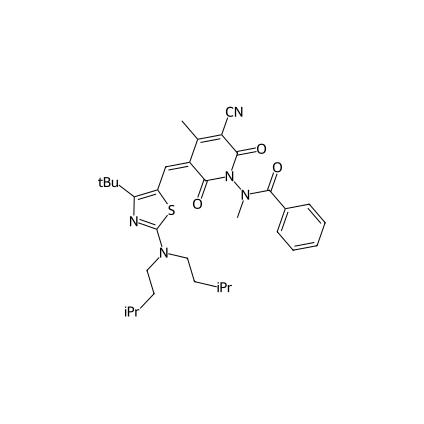 CC1=C(C#N)C(=O)N(N(C)C(=O)c2ccccc2)C(=O)/C1=C\c1sc(N(CCC(C)C)CCC(C)C)nc1C(C)(C)C